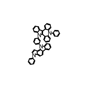 c1ccc(N2c3ccccc3-c3c(n(-c4cccc(-n5c6ccccc6c6ccc7c(ccn7-c7ccccc7)c65)c4)c4ccccc34)-c3ccccc32)cc1